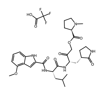 COc1cccc2[nH]c(C(=O)N[C@@H](CC(C)C)C(=O)N[C@@H](C[C@@H]3CCNC3=O)C(=O)COC(=O)[C@H]3CCCN3C)cc12.O=C(O)C(F)(F)F